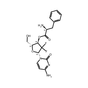 Nc1ccn([C@@H]2O[C@H](CO)[C@@H](OC(=O)[C@@H](N)Cc3ccccc3)C2(F)F)c(=O)n1